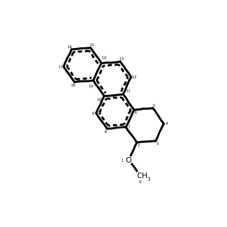 COC1CCCc2c1ccc1c2ccc2ccccc21